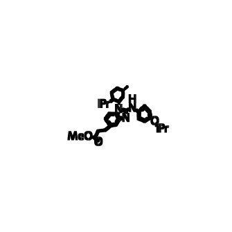 COC(=O)CCc1ccc2c(c1)nc(Nc1ccc(OC(C)C)cc1)n2[C@@H]1C[C@H](C)CCC1C(C)C